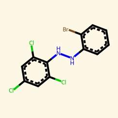 Clc1cc(Cl)c(NNc2ccccc2Br)c(Cl)c1